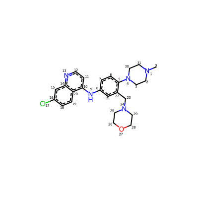 CN1CCN(c2ccc(Nc3ccnc4cc(Cl)ccc34)cc2CN2CCOCC2)CC1